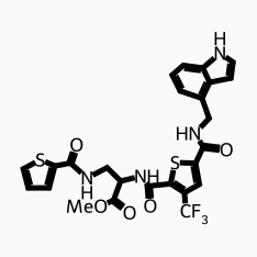 COC(=O)C(CNC(=O)c1cccs1)NC(=O)c1sc(C(=O)NCc2cccc3[nH]ccc23)cc1C(F)(F)F